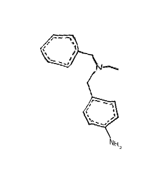 CN(Cc1ccccc1)Cc1ccc(N)cc1